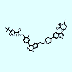 Cc1cc(-c2ncnn3cc(CCN4CCC(c5ccc6c(N7CCC(=O)NC7=O)cnn6c5)CC4)cc23)ccc1CNC(=O)c1noc(C(C)(C)C)n1